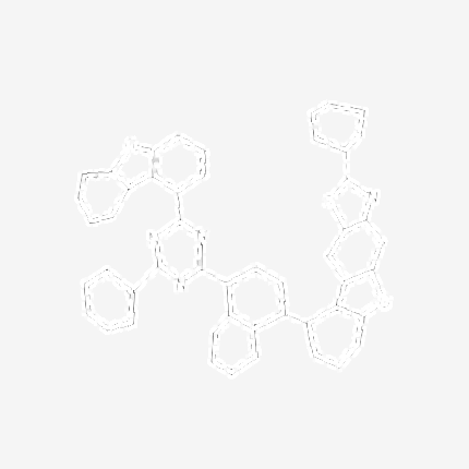 c1ccc(-c2nc(-c3ccc(-c4cccc5oc6cc7nc(-c8ccccc8)sc7cc6c45)c4ccccc34)nc(-c3cccc4oc5ccccc5c34)n2)cc1